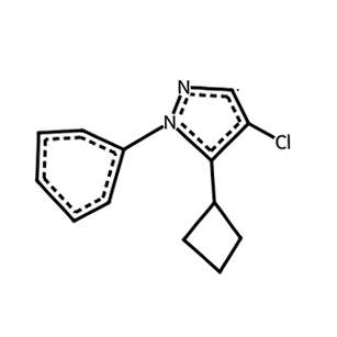 Clc1[c]nn(-c2ccccc2)c1C1CCC1